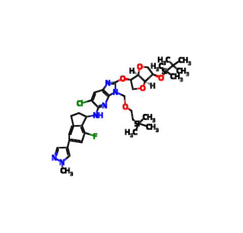 Cn1cc(-c2cc(F)c3c(c2)CCC3Nc2nc3c(cc2Cl)nc(O[C@@H]2CO[C@H]4[C@@H]2OC[C@H]4O[Si](C)(C)C(C)(C)C)n3COCC[Si](C)(C)C)cn1